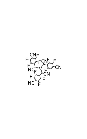 N#CC(=C1C(=C(\C#N)c2c(F)cc(C#N)c(F)c2F)/C1=C(\C#N)c1c(F)c(F)c(C#N)c(F)c1F)c1c(F)c(F)c(C#N)c(F)c1F